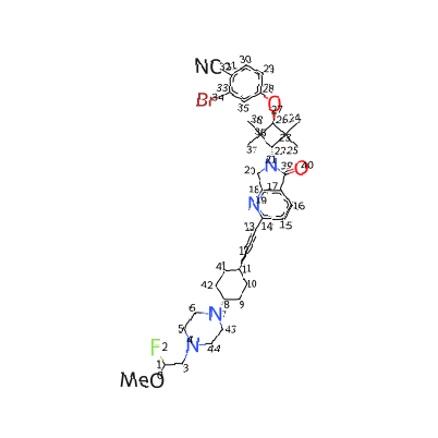 COC(F)CN1CCN([C@H]2CC[C@H](C#Cc3ccc4c(n3)CN([C@H]3C(C)(C)[C@H](Oc5ccc(C#N)c(Br)c5)C3(C)C)C4=O)CC2)CC1